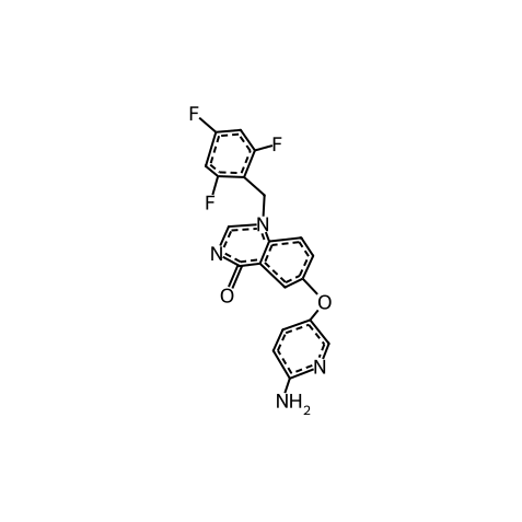 Nc1ccc(Oc2ccc3c(c2)c(=O)ncn3Cc2c(F)cc(F)cc2F)cn1